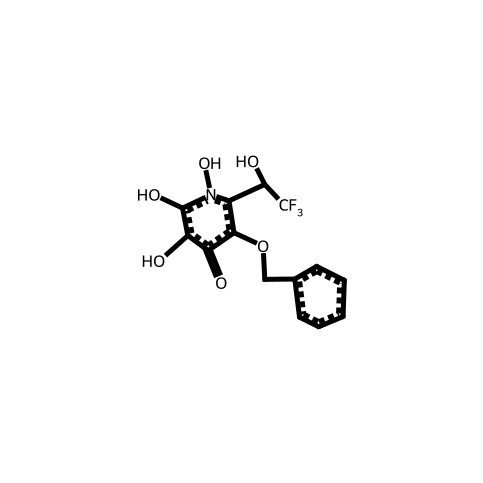 O=c1c(O)c(O)n(O)c(C(O)C(F)(F)F)c1OCc1ccccc1